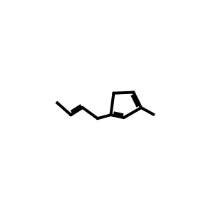 CC=CCC1=CC(C)=CC1